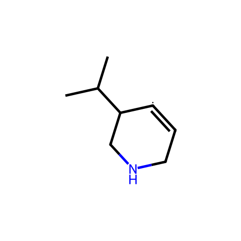 CC(C)C1[C]=CCNC1